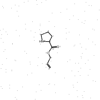 C=CCOC(=O)C1CCCN1